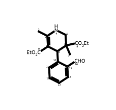 CCOC(=O)C1=C(C)NCC(C)(C(=O)OCC)C1c1ccccc1C=O